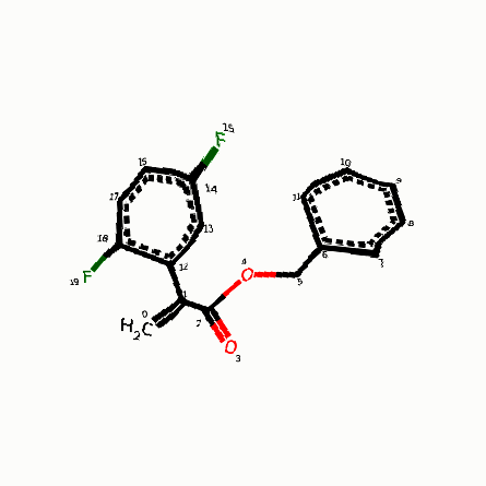 C=C(C(=O)OCc1ccccc1)c1cc(F)ccc1F